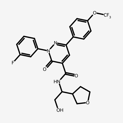 O=C(NC(CO)C1CCOC1)c1cc(-c2ccc(OC(F)(F)F)cc2)nn(-c2cccc(F)c2)c1=O